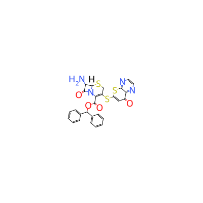 N[C@@H]1C(=O)N2C(C(=O)OC(c3ccccc3)c3ccccc3)=C(Sc3cc(=O)c4nccnc4s3)CS[C@H]12